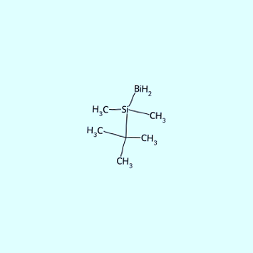 CC(C)(C)[Si](C)(C)[BiH2]